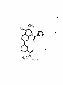 CC(=O)N1C2CCC(C3CCCC(C(=O)N(C)C)C3)CC2N(C(=O)c2ccco2)C[C@@H]1C